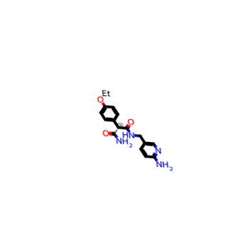 CCOc1ccc([C@@H](C(N)=O)C(=O)NCc2ccc(N)nc2)cc1